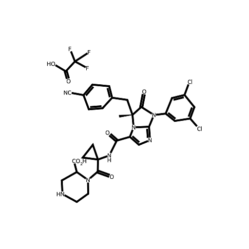 C[C@@]1(Cc2ccc(C#N)cc2)C(=O)N(c2cc(Cl)cc(Cl)c2)c2ncc(C(=O)NC3(C(=O)N4CCNCC4C(=O)O)CC3)n21.O=C(O)C(F)(F)F